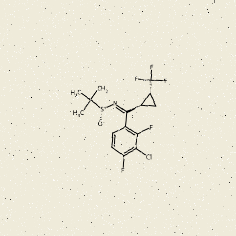 CC(C)(C)[S@@+]([O-])/N=C(\c1ccc(F)c(Cl)c1F)[C@@H]1C[C@H]1C(F)(F)F